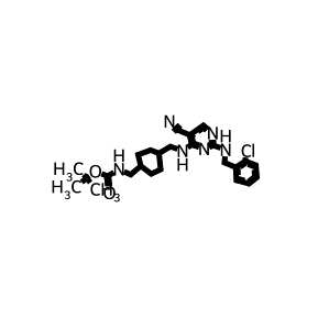 CC(C)(C)OC(=O)NCC1CCC(CNc2nc(NCc3ccccc3Cl)ncc2C#N)CC1